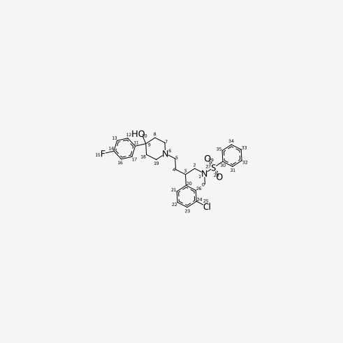 CN(CC(CCN1CCC(O)(c2ccc(F)cc2)CC1)c1cccc(Cl)c1)S(=O)(=O)c1ccccc1